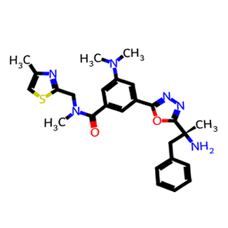 Cc1csc(CN(C)C(=O)c2cc(-c3nnc([C@](C)(N)Cc4ccccc4)o3)cc(N(C)C)c2)n1